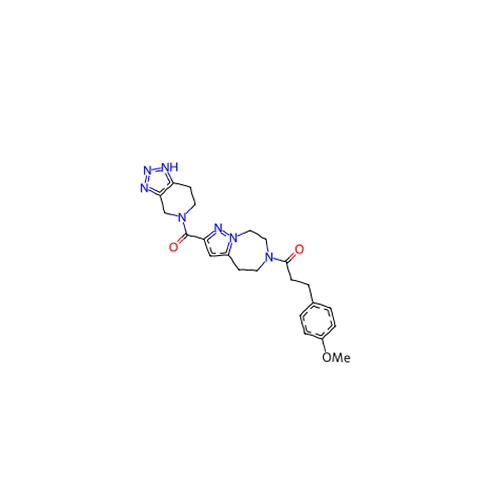 COc1ccc(CCC(=O)N2CCc3cc(C(=O)N4CCc5[nH]nnc5C4)nn3CC2)cc1